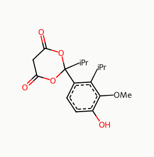 COc1c(O)ccc(C2(C(C)C)OC(=O)CC(=O)O2)c1C(C)C